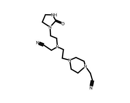 N#CCN1CCN(CCN(CC#N)CCN2CCNC2=O)CC1